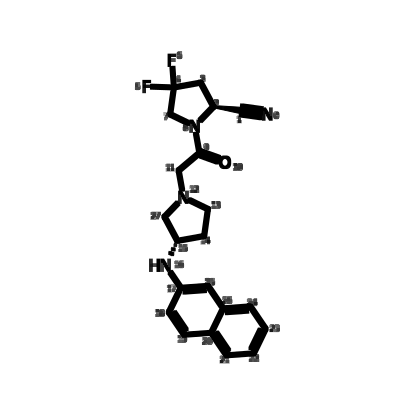 N#C[C@@H]1CC(F)(F)CN1C(=O)CN1CC[C@H](Nc2ccc3ccccc3c2)C1